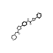 O=C(CN1CCOCC1)N1CCC(c2ccc(NC(=O)N3CC(c4cccnc4)C3)cc2)C1